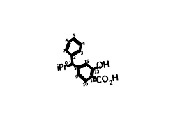 CC(C)C(c1ccccc1)c1ccc(C(=O)O)c(O)c1